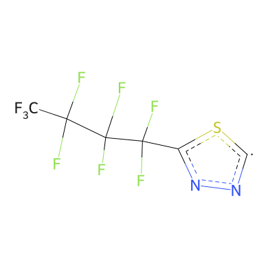 FC(F)(F)C(F)(F)C(F)(F)C(F)(F)c1nn[c]s1